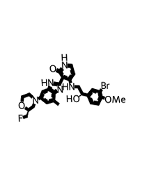 COc1ccc([C@H](O)CNc2cc[nH]c(=O)c2-c2nc3c(C)cc(N4CCO[C@H](CF)C4)cc3[nH]2)cc1Br